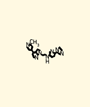 Cc1cc(-c2ccnc3c2CCN3CCNC2=CCC(c3cnccn3)N=C2)ccn1